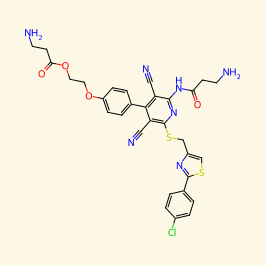 N#Cc1c(NC(=O)CCN)nc(SCc2csc(-c3ccc(Cl)cc3)n2)c(C#N)c1-c1ccc(OCCOC(=O)CCN)cc1